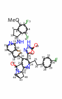 COc1c(F)cc(F)c2c1CC[C@H]2Nc1nccc2cc(-c3c4c(nc(CCc5ccc(F)cc5)c3-c3n[nH]c(=O)o3)C35CC(CN3C4=O)C5)sc12